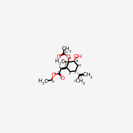 C=C(C)[C@@H]1C/C(=C\C(=O)OCC)[C@](C)(OC(C)=O)[C@@H](O)C1